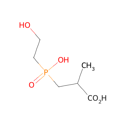 CC(CP(=O)(O)CCO)C(=O)O